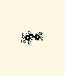 COc1ccc(-c2cc(=O)c3c(O)c(OC)c(O)c(OC)c3o2)cc1O